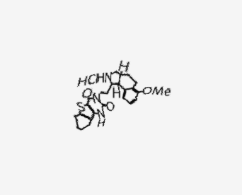 COc1cccc2c1CC[C@H]1CNC(CCn3c(=O)[nH]c4c5c(sc4c3=O)CCCC5)[C@@H]21.Cl